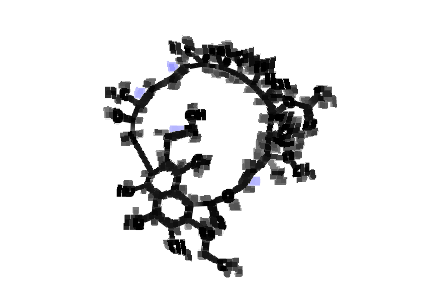 CCOc1c(C)c(O)c2c(O)c3c(/C=N/O)c(O)c2c1C(=O)O/C=C/[C@H](OC)[C@@H](C)[C@@H](OC(C)=O)[C@H](C)[C@H](O)[C@H](C)[C@@H](O)[C@@H](C)/C=C/C=C(/C)C(=O)N3